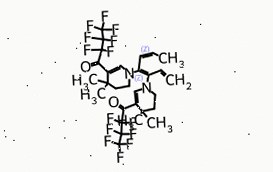 C=C/C(=C(\C=C/C)N1C=C(C(=O)C(F)(F)C(F)(F)C(F)(F)F)C(C)(C)CC1)N1C=C(C(=O)C(F)(F)C(F)(F)C(F)(F)F)C(C)(C)CC1